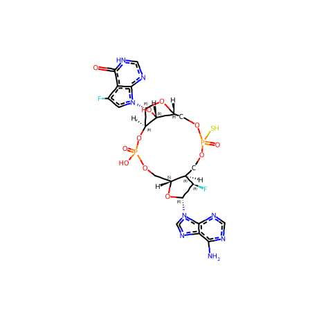 Nc1ncnc2c1ncn2[C@@H]1O[C@@H]2COP(=O)(O)O[C@@H]3[C@H](O)[C@@H](COP(=O)(S)OC[C@H]2[C@H]1F)O[C@H]3n1cc(F)c2c(=O)[nH]cnc21